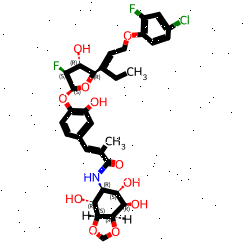 CCC(=CCOc1ccc(Cl)cc1F)[C@H]1O[C@@H](Oc2ccc(C=C(C)C(=O)N[C@@H]3[C@H](O)[C@@H](O)[C@H]4OCO[C@H]4[C@@H]3O)cc2O)[C@@H](F)[C@@H]1O